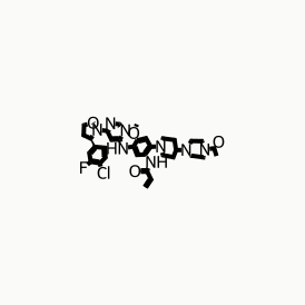 C=CC(=O)Nc1cc(Nc2cc(N3OCC[C@@H]3c3ccc(Cl)c(F)c3)ncn2)c(OC)cc1N1CCC(N2CCN(C(C)=O)CC2)CC1